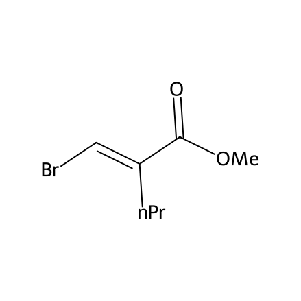 CCC/C(=C\Br)C(=O)OC